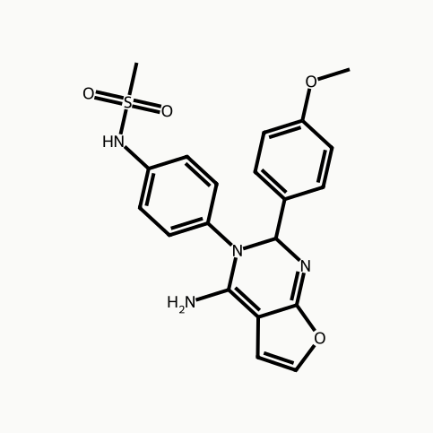 COc1ccc(C2N=c3occc3=C(N)N2c2ccc(NS(C)(=O)=O)cc2)cc1